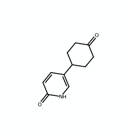 O=C1CCC(c2ccc(=O)[nH]c2)CC1